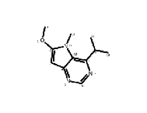 COc1cc2ncnc(C(C)C)c2n1C